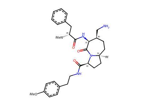 CN[C@H](Cc1ccccc1)C(=O)N[C@@H]1C(=O)N2[C@@H](CC[C@@H]1CN)CC[C@H]2C(=O)NCCc1ccc(OC)cc1